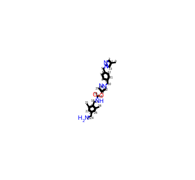 Cc1cnn(Cc2ccc(Cn3cc(OC(=O)NCc4c(C)cc(CN)cc4C)cn3)cc2)c1